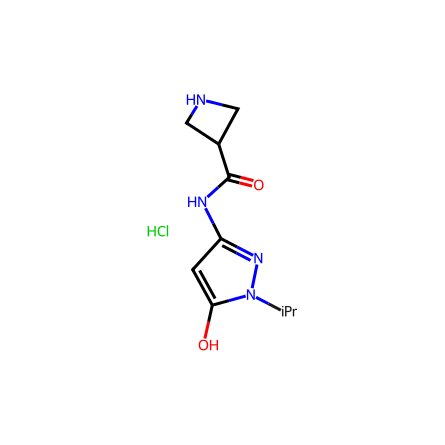 CC(C)n1nc(NC(=O)C2CNC2)cc1O.Cl